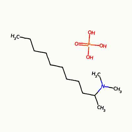 CCCCCCCCCC(C)N(C)C.O=P(O)(O)O